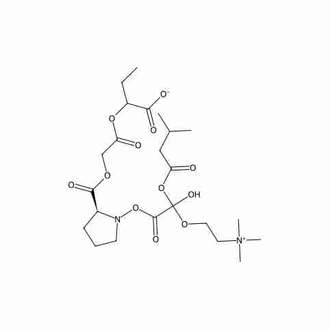 CCC(OC(=O)COC(=O)[C@@H]1CCCN1OC(=O)C(O)(OCC[N+](C)(C)C)OC(=O)CC(C)C)C(=O)[O-]